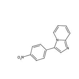 O=[N+]([O-])c1ccc(-c2cnc3ccccn23)cc1